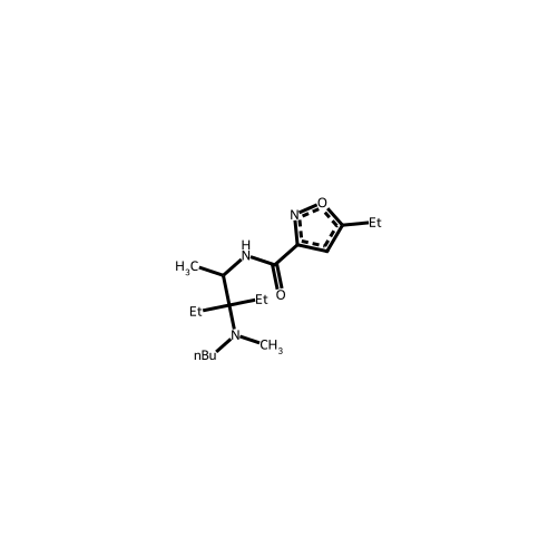 CCCCN(C)C(CC)(CC)C(C)NC(=O)c1cc(CC)on1